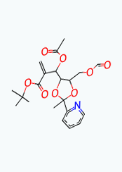 C=C(C(=O)OC(C)(C)C)C(OC(C)=O)C1OC(C)(c2ccccn2)OC1COC=O